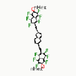 CCCCCCOc1c(F)c(F)c2c(F)c(C#Cc3ccc4cc(C#Cc5c(F)c(F)c6c(F)c(OCCCCCC)c(F)c(F)c6c5F)ccc4c3)c(F)c(F)c2c1F